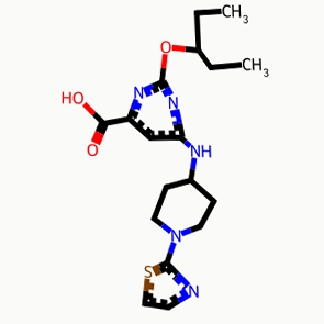 CCC(CC)Oc1nc(NC2CCN(c3nccs3)CC2)cc(C(=O)O)n1